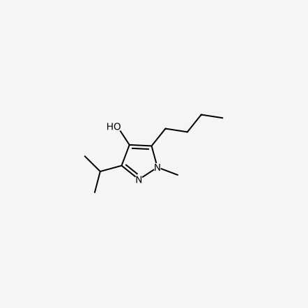 CCCCc1c(O)c(C(C)C)nn1C